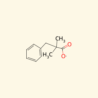 CC(C)(Cc1ccccc1)C([O])=O